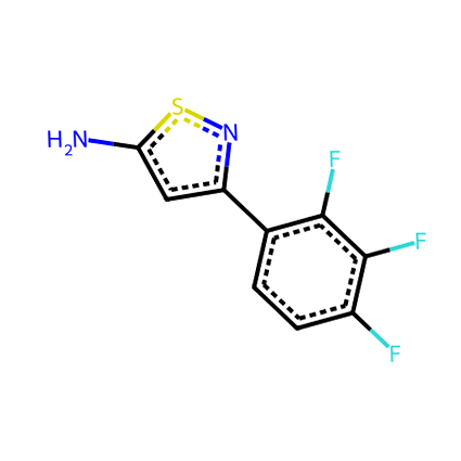 Nc1cc(-c2ccc(F)c(F)c2F)ns1